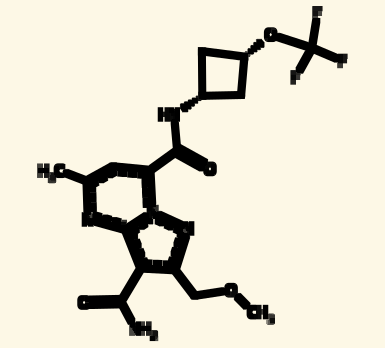 COCc1nn2c(C(=O)N[C@H]3C[C@@H](OC(F)(F)F)C3)cc(C)nc2c1C(N)=O